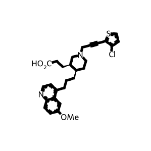 COc1ccc2nccc(CCC[C@@H]3CCN(CC#Cc4sccc4Cl)C[C@@H]3CCC(=O)O)c2c1